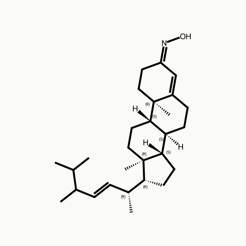 CC(C)C(C)C=C[C@@H](C)[C@H]1CC[C@H]2[C@@H]3CCC4=CC(=NO)CC[C@]4(C)[C@H]3CC[C@]12C